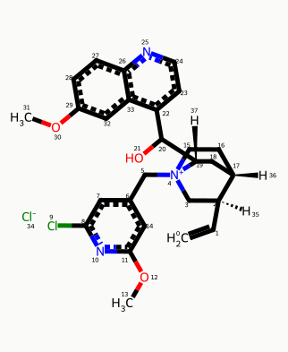 C=C[C@H]1C[N+]2(Cc3cc(Cl)nc(OC)c3)CC[C@H]1C[C@H]2C(O)c1ccnc2ccc(OC)cc12.[Cl-]